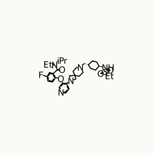 CCN(C(=O)c1cc(F)ccc1Oc1cnccc1N1CC2(CCN(C[C@H]3CC[C@H](NS(=O)(=O)CC)CC3)CC2)C1)C(C)C